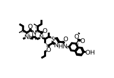 CCCO[C@H](CC(C(C)C)N(CCC)C(=O)[C@@H](NC(=O)[C@H](NC)[C@@H](C)CC)[C@@H](C)CC)c1nc(C(=O)N[C@H]2Cc3ccc(O)cc3[C@H](C(=O)OC)C2)cs1